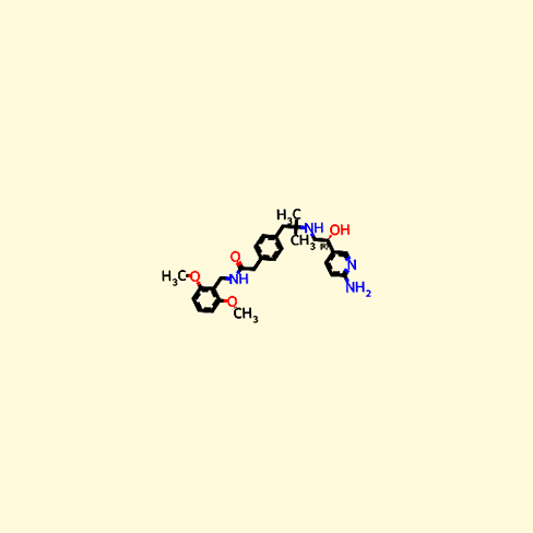 COc1cccc(OC)c1CNC(=O)Cc1ccc(CC(C)(C)NC[C@H](O)c2ccc(N)nc2)cc1